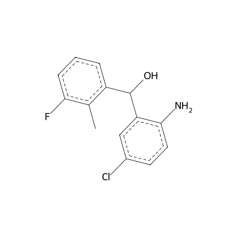 Cc1c(F)cccc1C(O)c1cc(Cl)ccc1N